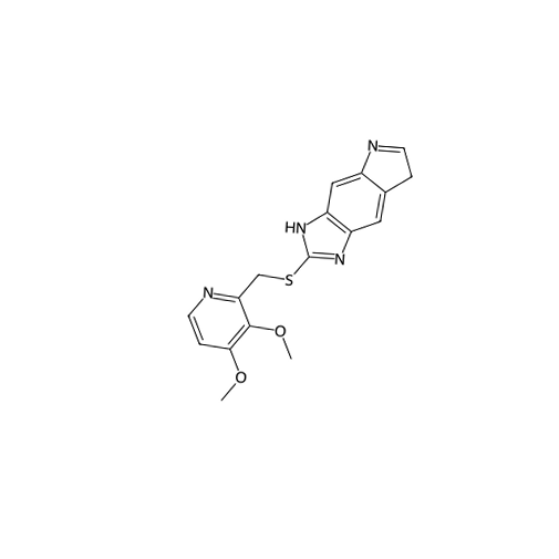 COc1ccnc(CSc2nc3cc4c(cc3[nH]2)N=CC4)c1OC